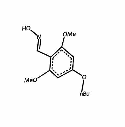 CCCCOc1cc(OC)c(/C=N/O)c(OC)c1